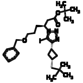 CC(C)(C)C[C@H]1C[C@@H](c2nnn([C@@H](CCCOCc3ccccc3)CC(=O)OC(C)(C)C)c2I)C1